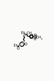 CCC(=O)N1CCC(=O)N(CCCCN(CC)C(C)Cc2ccc(S(C)(=O)=O)cc2)CC1